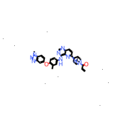 C=CC(=O)N1CC2CCC1CN2c1ccc2ncnc(Nc3ccc(Oc4ccc5c(c4)nnn5C)c(C)c3)c2n1